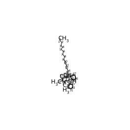 CCCCCCCCCCCCCCCCCCC1(C)C(C)=C(C)C(C)=C1[SiH](c1ccccc1)c1ccccc1